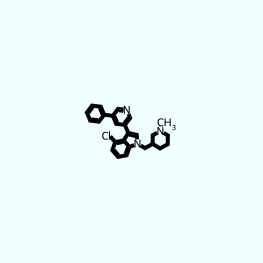 CN1CCCC(Cn2cc(-c3cncc(-c4ccccc4)c3)c3c(Cl)cccc32)C1